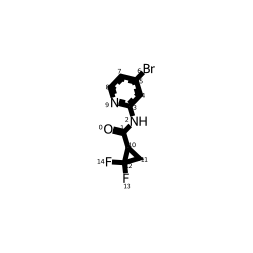 O=C(Nc1cc(Br)ccn1)C1CC1(F)F